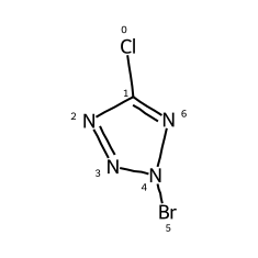 Clc1nnn(Br)n1